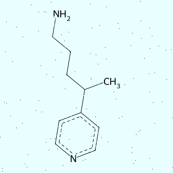 CC(CCCN)c1ccncc1